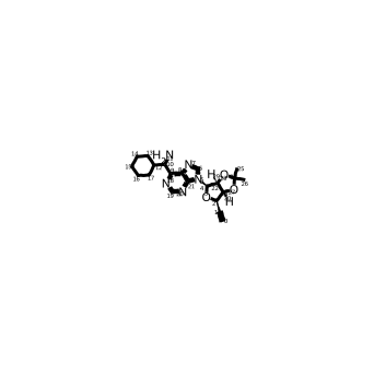 C#C[C@H]1O[C@@H](n2cnc3c(C(N)C4CCCCC4)ncnc32)[C@H]2OC(C)(C)O[C@@H]21